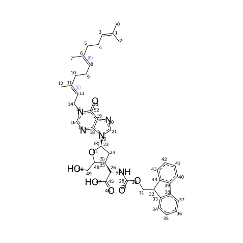 CC(C)=CCC/C(C)=C/CC/C(C)=C/Cn1cnc2c(ncn2[C@H]2C[C@@H](C(NC(=O)OCC3c4ccccc4-c4ccccc43)C(=O)O)C(CO)O2)c1=O